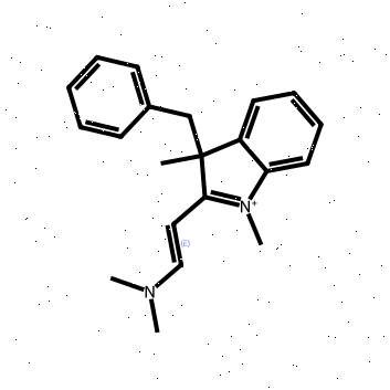 CN(C)/C=C/C1=[N+](C)c2ccccc2C1(C)Cc1ccccc1